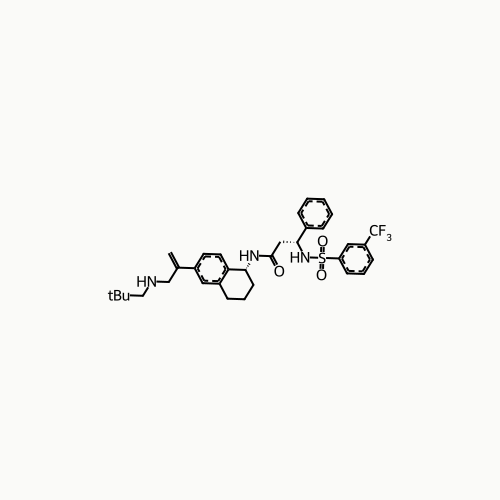 C=C(CNCC(C)(C)C)c1ccc2c(c1)CCC[C@H]2NC(=O)C[C@@H](NS(=O)(=O)c1cccc(C(F)(F)F)c1)c1ccccc1